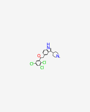 CN1CCC(c2c[nH]c3ccc(CC(=O)c4cc(Cl)cc(Cl)c4Cl)cc23)CC1